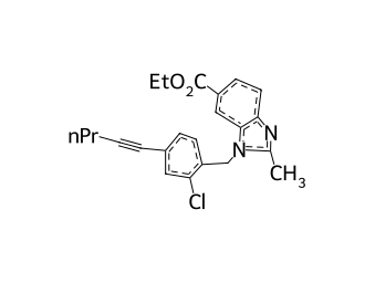 CCCC#Cc1ccc(Cn2c(C)nc3ccc(C(=O)OCC)cc32)c(Cl)c1